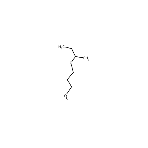 CCC(C)OCCCOI